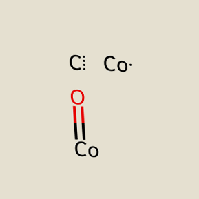 [C].[Co].[O]=[Co]